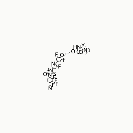 CC1CCCN1C(=O)[C@@H](NC(=O)COCCCCOc1c(F)cc(-c2ncc(N3C(=S)N(c4ccc(C#N)c(C(F)(F)F)c4F)C(=O)C3(C)C)cc2F)cc1F)C(C)(C)C